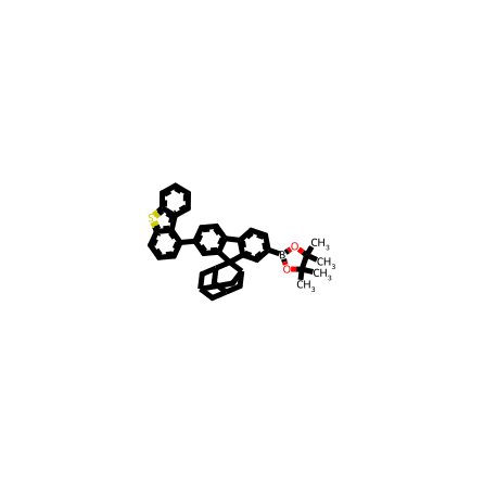 CC1(C)OB(c2ccc3c(c2)C2(c4cc(-c5cccc6sc7ccccc7c56)ccc4-3)C3CC4CC(C3)CC2C4)OC1(C)C